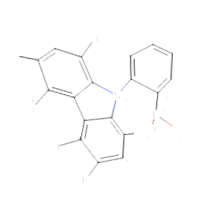 [2H]c1cc([2H])c2c(c1[2H])c1c([2H])c([2H])cc([2H])c1n2-c1ccccc1B(O)O